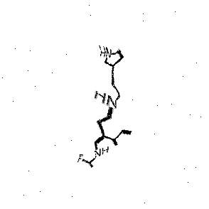 C=CC(=C)/C(=C\NC(C)F)CCNCCCC1CCNC1